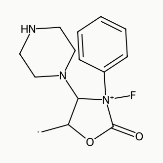 [CH2]C1OC(=O)[N+](F)(c2ccccc2)C1N1CCNCC1